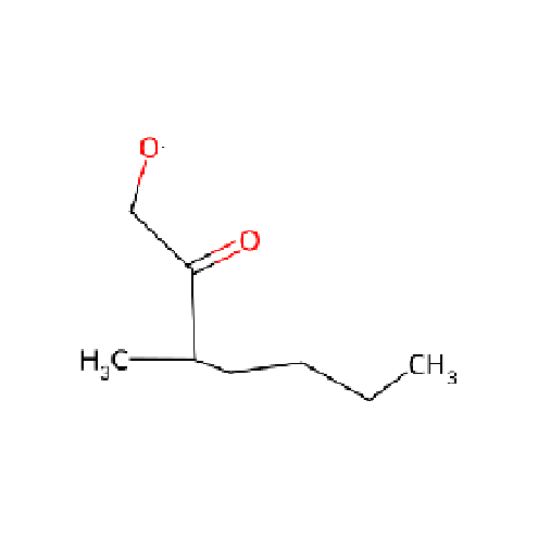 CCCCC(C)C(=O)C[O]